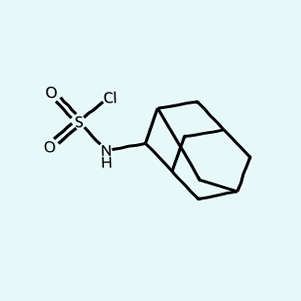 O=S(=O)(Cl)NC1C2CC3CC(C2)CC1C3